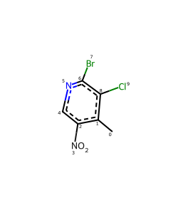 Cc1c([N+](=O)[O-])cnc(Br)c1Cl